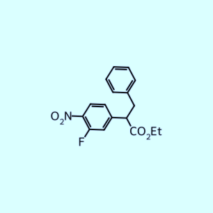 CCOC(=O)C(Cc1ccccc1)c1ccc([N+](=O)[O-])c(F)c1